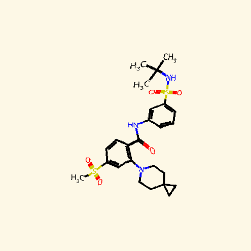 CC(C)(C)NS(=O)(=O)c1cccc(NC(=O)c2ccc(S(C)(=O)=O)cc2N2CCC3(CC2)CC3)c1